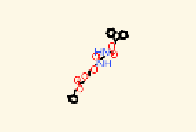 O=C(CNC(=O)OCC1c2ccccc2-c2ccccc21)NCOCCOCC(=O)OCc1ccccc1